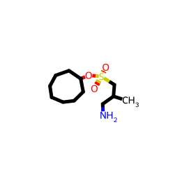 CC(CN)CS(=O)(=O)OC1CCCCCCC1